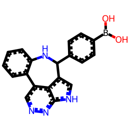 OB(O)c1ccc(C2Nc3ccccc3-c3cnnc4[nH]cc2c34)cc1